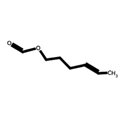 CC=CCCCO[C]=O